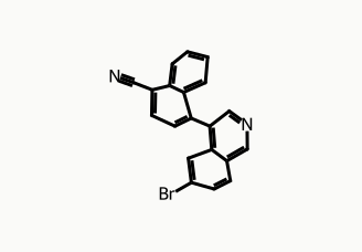 N#Cc1ccc(-c2cncc3ccc(Br)cc23)c2ccccc12